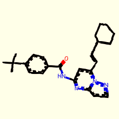 CC(C)(C)c1ccc(C(=O)Nc2cc(C=CC3CCCCC3)n3nccc3n2)cc1